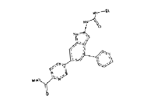 CCNC(=O)Nc1nc2cc(-c3ccc(C(=O)OC)nc3)cc(-c3cccnc3)c2s1